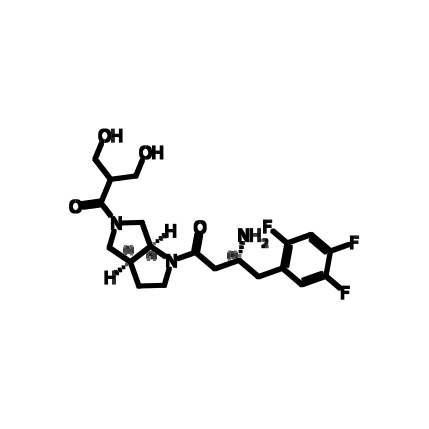 N[C@@H](CC(=O)N1CC[C@H]2CN(C(=O)C(CO)CO)C[C@H]21)Cc1cc(F)c(F)cc1F